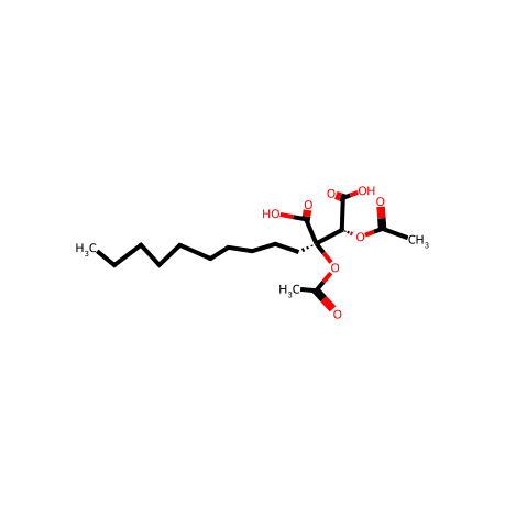 CCCCCCCCCC[C@](OC(C)=O)(C(=O)O)[C@@H](OC(C)=O)C(=O)O